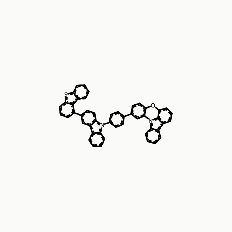 c1ccc2c(c1)sc1cccc(-c3ccc4c(c3)c3ccccc3n4-c3ccc(-c4ccc5c(c4)-n4c6ccccc6c6cccc(c64)O5)cc3)c12